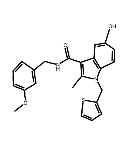 COc1cccc(CNC(=O)c2c(C)n(Cc3cccs3)c3ccc(O)cc23)c1